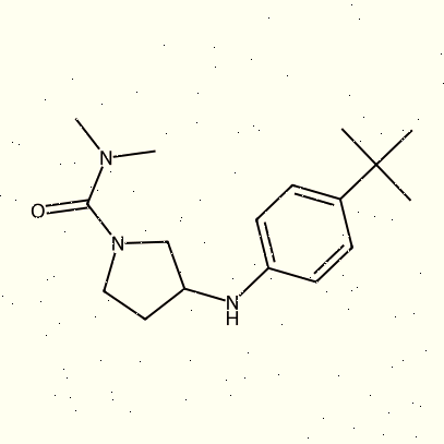 CN(C)C(=O)N1CCC(Nc2ccc(C(C)(C)C)cc2)C1